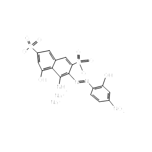 Nc1c(N=Nc2ccc([N+](=O)[O-])cc2O)c(S(=O)(=O)[O-])cc2cc(S(=O)(=O)[O-])cc(O)c12.[Na+].[Na+]